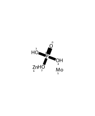 O=P(O)(O)O.[Mo].[Zn]